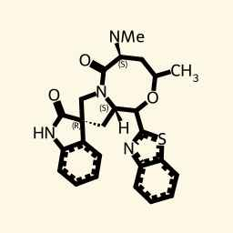 CN[C@H]1CC(C)OC(c2nc3ccccc3s2)[C@@H]2C[C@@]3(CN2C1=O)C(=O)Nc1ccccc13